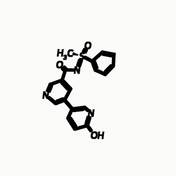 C[S@@](=O)(=NC(=O)c1cncc(-c2ccc(O)nc2)c1)c1ccccc1